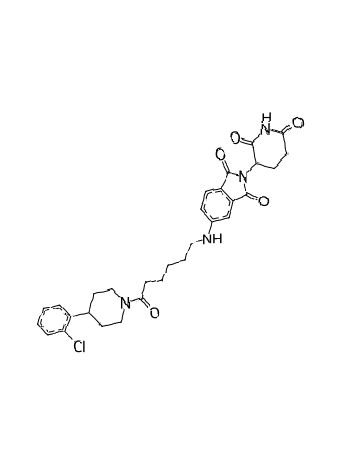 O=C1CCC(N2C(=O)c3ccc(NCCCCCC(=O)N4CCC(c5ccccc5Cl)CC4)cc3C2=O)C(=O)N1